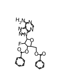 Nc1ncnc2c1nnn2C1OC(COC(=O)c2ccccc2)C(OC(=O)c2ccccc2)C1F